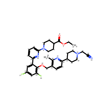 CCOC(=O)C1CCN(c2cccc(-c3cc(F)cc(F)c3OCc3ccc(C4CCN(CC#N)CC4)nc3C)n2)CC1